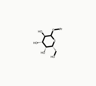 CC(C)OC1S[C@H](CO)[C@H](O)[C@H](O)[C@H]1O